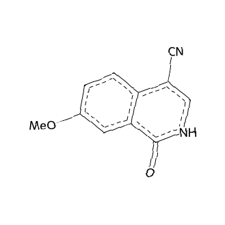 COc1ccc2c(C#N)c[nH]c(=O)c2c1